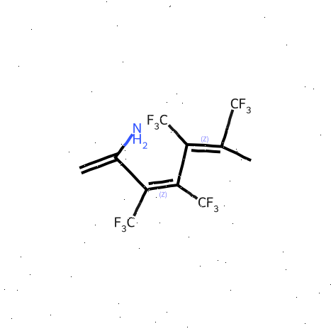 C=C(N)/C(=C(\C(=C(/C)C(F)(F)F)C(F)(F)F)C(F)(F)F)C(F)(F)F